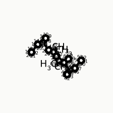 CC1(C)c2cc(-n3c4ccccc4c4ccc(-c5ccccc5)cc43)ccc2-c2cc3c(cc21)-c1c(cc(-n2c4ccccc4c4ccc(-c5ccccc5)cc42)c2ccccc12)C3(C)C